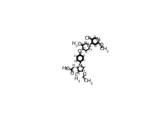 CCO[C@H]1CN(c2ccc(OC3CCN(c4cc(OC)ncc4Cl)CC3C)cc2)[C@@H](CC(=O)O)[C@@H]1C